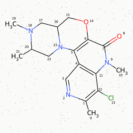 Cc1ncc2c3c(c(=O)n(C)c2c1Cl)OCC1CN(C)C(C)CN31